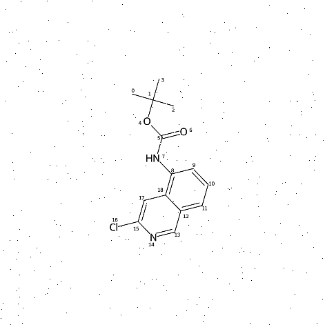 CC(C)(C)OC(=O)Nc1cccc2cnc(Cl)cc12